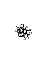 COC(=O)c1c(C)c(C)c(C(C)C)c(C(C)C)c1C(=O)OC